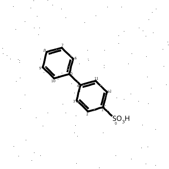 O=S(=O)(O)c1c[c]c(-c2ccccc2)cc1